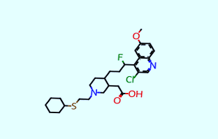 COc1ccc2ncc(Cl)c(C(F)CCC3CCN(CCSC4CCCCC4)CC3CC(=O)O)c2c1